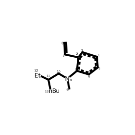 C=Cc1ccccc1N(C)CC(CC)CCCC